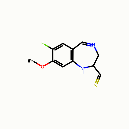 CC(C)Oc1cc2c(cc1F)C=NCC(C=S)N2